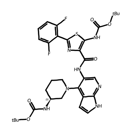 CC(C)(C)OC(=O)Nc1sc(-c2c(F)cccc2F)nc1C(=O)Nc1cnc2[nH]ccc2c1N1CCC[C@H](NC(=O)OC(C)(C)C)C1